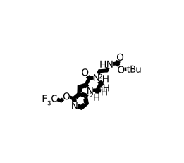 [2H]C1([2H])N(CCNC(=O)OC(C)(C)C)C(=O)c2cc3c(OCC(F)(F)F)nccc3n2C1([2H])[2H]